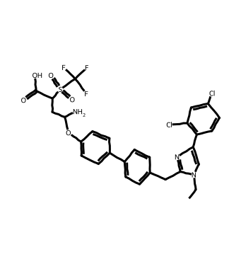 CCn1cc(-c2ccc(Cl)cc2Cl)nc1Cc1ccc(-c2ccc(OC(N)CC(C(=O)O)S(=O)(=O)C(F)(F)F)cc2)cc1